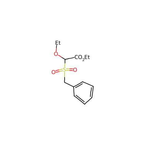 CCOC(=O)C(OCC)S(=O)(=O)Cc1ccccc1